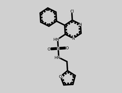 O=S(=O)(NCc1ccco1)Nc1ncnc(Cl)c1-c1ccccc1